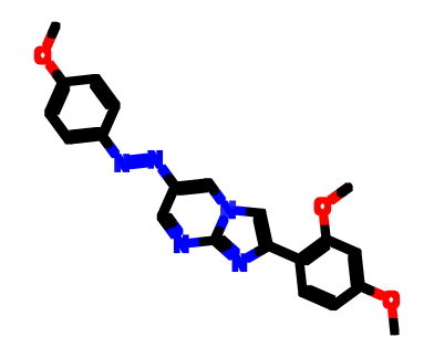 COc1ccc(/N=N/c2cnc3nc(-c4ccc(OC)cc4OC)cn3c2)cc1